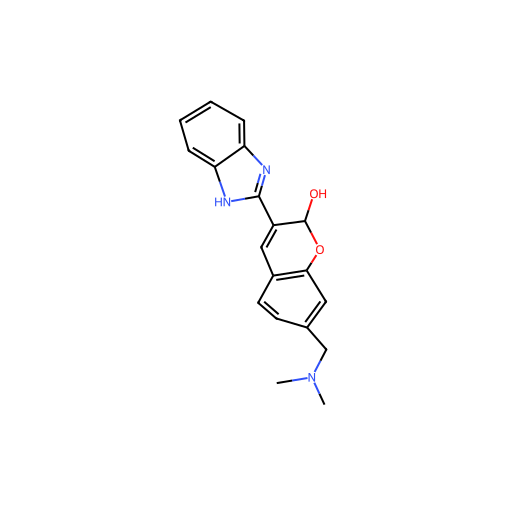 CN(C)Cc1ccc2c(c1)OC(O)C(c1nc3ccccc3[nH]1)=C2